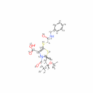 C[SiH](C)O[C@@](C)([C@@H]1C(=O)N2C(C(=O)O)=C(SCC(=O)NCc3ccccc3)S[C@H]12)C(C)(C)C